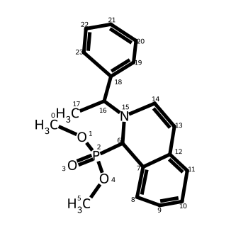 COP(=O)(OC)C1c2ccccc2C=CN1C(C)c1ccccc1